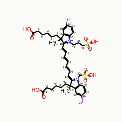 CC1(CCCCCC(=O)O)C(/C=C/C=C/C=C/C=C2\N(CS(=O)(=O)O)c3ccc(I)cc3C2(C)CCCCCC(=O)O)=[N+](CCCS(=O)(=O)O)c2ccc(I)cc21